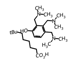 CC(C)(C)CCCCCC(=O)O.CN(C)Cc1ccc(O)c(CN(C)C)c1CN(C)C